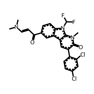 CN(C)C=CC(=O)c1ccc2c(c1)c1cc(-c3ccc(Cl)cc3Cl)c(=O)n(C)c1n2C(F)F